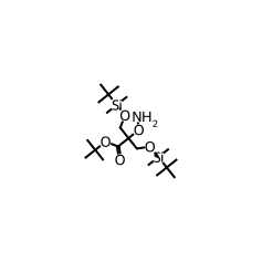 CC(C)(C)OC(=O)C(CO[Si](C)(C)C(C)(C)C)(CO[Si](C)(C)C(C)(C)C)ON